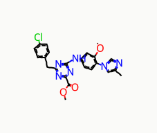 COC(=O)c1nc(Cc2ccc(Cl)cc2)nc(Nc2ccc(-n3cnc(C)c3)c(OC)c2)n1